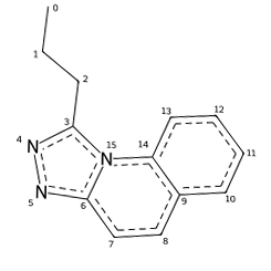 CCCc1nnc2ccc3ccccc3n12